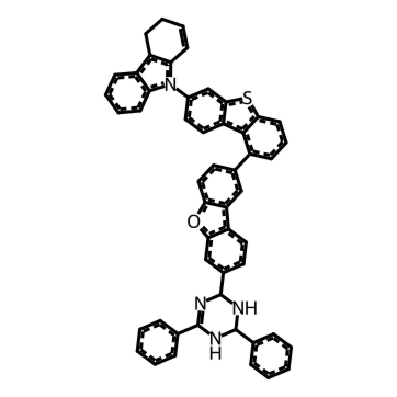 C1=Cc2c(c3ccccc3n2-c2ccc3c(c2)sc2cccc(-c4ccc5oc6cc(C7N=C(c8ccccc8)NC(c8ccccc8)N7)ccc6c5c4)c23)CC1